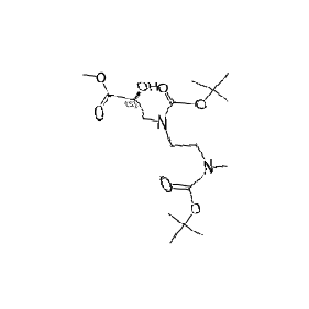 COC(=O)[C@@H](O)CN(CCN(C)C(=O)OC(C)(C)C)C(=O)OC(C)(C)C